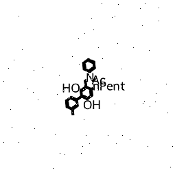 CCCCCc1cc(O)c(-c2cccc(C)c2)c(O)c1CN(C(C)=O)c1ccccc1